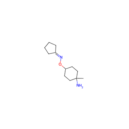 CC1(N)CCC(ON=C2CCCC2)CC1